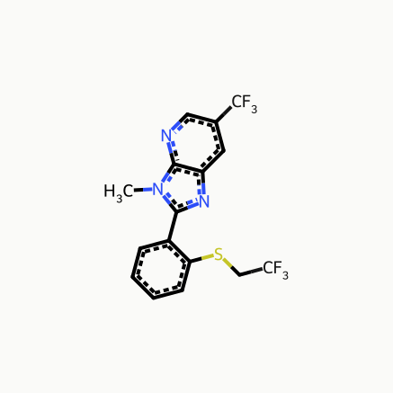 Cn1c(-c2ccccc2SCC(F)(F)F)nc2cc(C(F)(F)F)cnc21